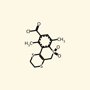 Cc1cc(C(=O)Cl)c(C)c2c1S(=O)(=O)CC1=C2SCCS1